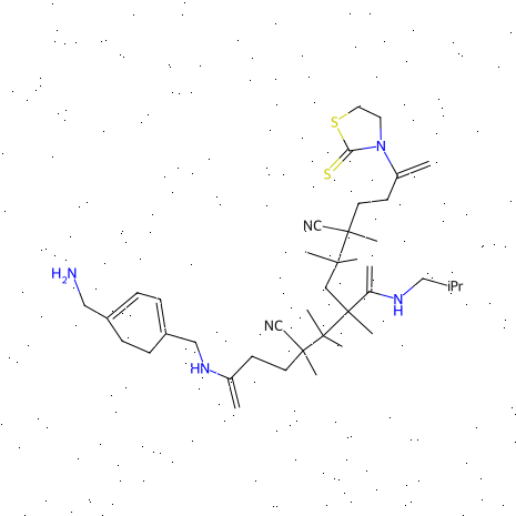 C=C(CCC(C)(C#N)C(C)(C)C(C)(CC(C)(C)C(C)(C#N)CCC(=C)N1CCSC1=S)C(=C)NCC(C)C)NCC1=CC=C(CN)CC1